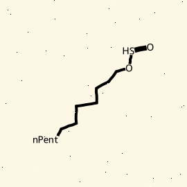 CCCCCCCCCCCCO[SH]=O